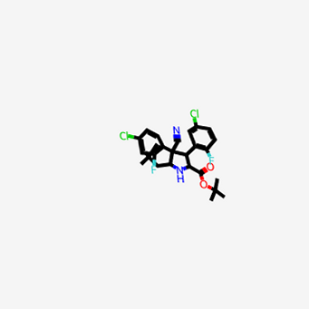 CC(C)(C)CC1NC(C(=O)OC(C)(C)C)C(c2cc(Cl)ccc2F)C1(C#N)c1ccc(Cl)cc1F